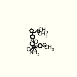 COc1ccc(-n2nc(C(N)=O)c3c2C(=O)N(c2ccc(C4(CCN(C)C)CCCC4)cc2)CC3)cc1